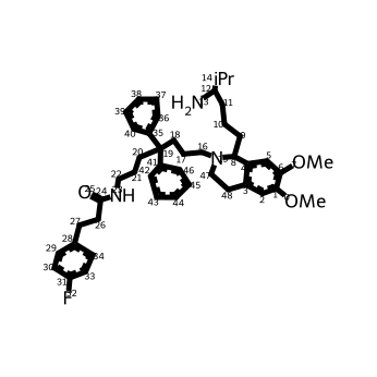 COc1cc2c(cc1OC)C(CCCC(N)C(C)C)N(CCCC(CCCNC(=O)CCc1ccc(F)cc1)(c1ccccc1)c1ccccc1)CC2